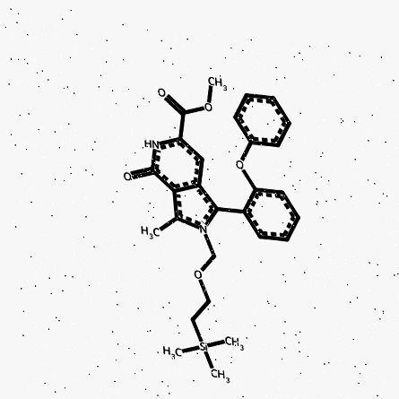 COC(=O)c1cc2c(-c3ccccc3Oc3ccccc3)n(COCC[Si](C)(C)C)c(C)c2c(=O)[nH]1